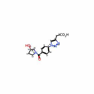 O=C(O)Cc1cn(-c2ccc(C(=O)N3CC[C@@H](O)C3)cc2)nn1